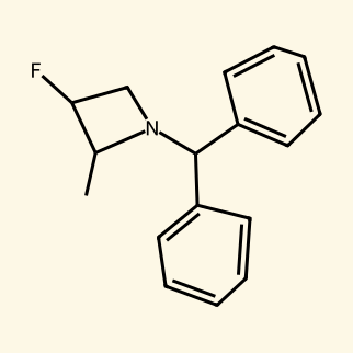 CC1C(F)CN1C(c1ccccc1)c1ccccc1